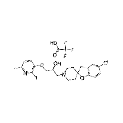 Cc1ccc(OC[C@@H](O)CN2CCC3(CC2)Cc2cc(Cl)ccc2O3)c(I)n1.O=C(O)C(F)(F)F